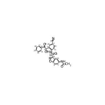 CC(=O)Nc1ccc2onc(C(=O)Nc3ccc(C#N)cc3C(O)C(=O)c3ccccc3)c2c1